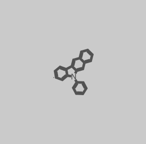 [c]1ccc2c3cc4ccccc4cc3n(-c3ccccc3)c2c1